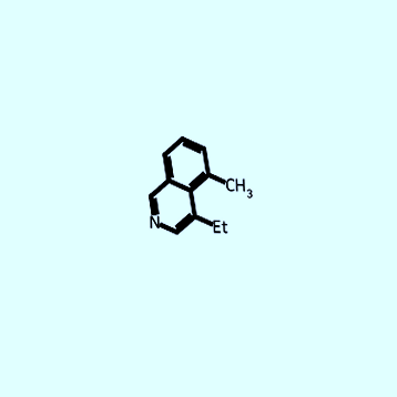 CCc1cncc2cccc(C)c12